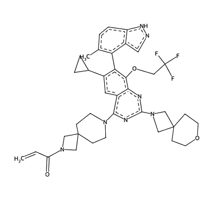 C=CC(=O)N1CC2(CCN(c3nc(N4CC5(CCOCC5)C4)nc4c(OCC(F)(F)F)c(-c5c(C)ccc6[nH]ncc56)c(C5CC5)cc34)CC2)C1